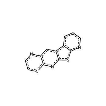 c1cnc2sc3nc4nccnc4cc3c2c1